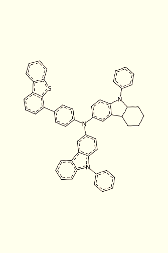 c1ccc(N2c3ccc(N(c4ccc(-c5cccc6c5sc5ccccc56)cc4)c4ccc5c(c4)c4ccccc4n5-c4ccccc4)cc3C3CCCCC32)cc1